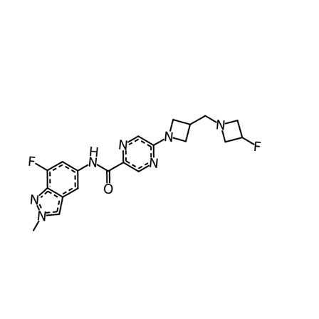 Cn1cc2cc(NC(=O)c3cnc(N4CC(CN5CC(F)C5)C4)cn3)cc(F)c2n1